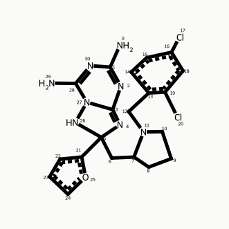 NC1=NC2=NC(CC3CCCN3Cc3ccc(Cl)cc3Cl)(c3ccco3)NN2C(N)=N1